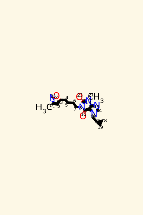 Cc1cc(CCCCn2c(=O)c3c(ncn3CC3CC3)n(C)c2=O)on1